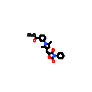 COC(=O)c1cccc(-n2c(C)cc(C=C3OC(=O)N(c4ccccc4)C3=O)c2C)c1